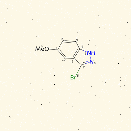 COc1ccc2[nH]nc(Br)c2c1